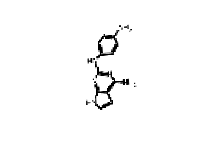 Nc1ccc(Nc2nc(N)c3cc[nH]c3n2)cc1